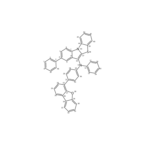 c1ccc(-c2ccc3c(c2)c(N(c2ccccc2)c2ccc(-c4cccc5c4oc4ccccc45)cc2)c2sc4ccccc4n23)cc1